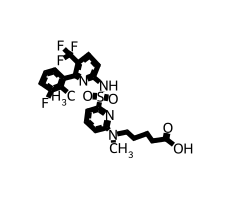 Cc1c(F)cccc1-c1nc(NS(=O)(=O)c2cccc(N(C)CCCCC(=O)O)n2)ccc1C(F)(F)F